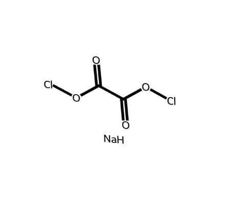 O=C(OCl)C(=O)OCl.[NaH]